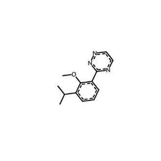 COc1c(-c2nccnn2)cccc1C(C)C